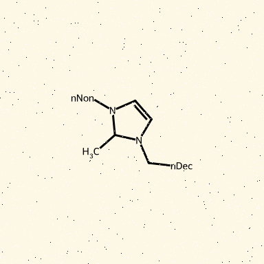 CCCCCCCCCCCN1C=CN(CCCCCCCCC)C1C